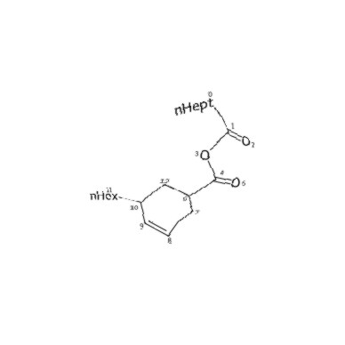 CCCCCCCC(=O)OC(=O)C1CC=CC(CCCCCC)C1